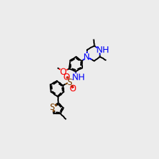 COc1ccc(N2CC(C)NC(C)C2)cc1NS(=O)(=O)c1cccc(-c2cc(C)cs2)c1